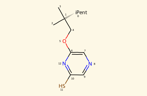 CCC[C@@H](C)C(C)(C)COc1cncc(S)n1